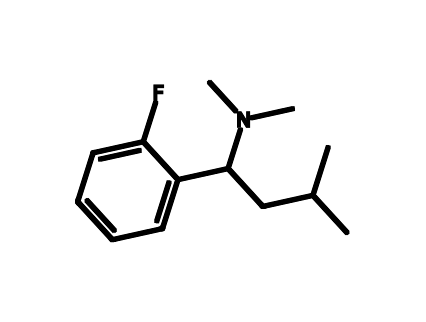 CC(C)CC(c1ccccc1F)N(C)C